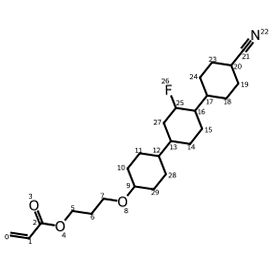 C=CC(=O)OCCCOC1CCC(C2CCC(C3CCC(C#N)CC3)C(F)C2)CC1